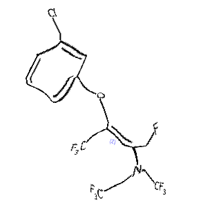 F/C(=C(\Oc1cccc(Cl)c1)C(F)(F)F)N(C(F)(F)F)C(F)(F)F